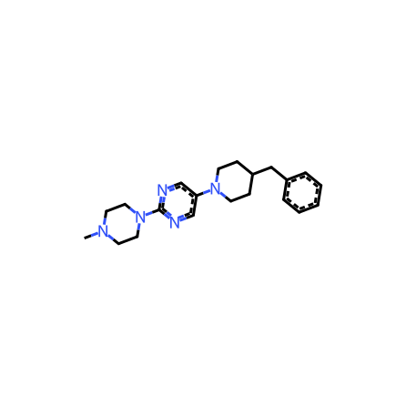 CN1CCN(c2ncc(N3CCC(Cc4ccccc4)CC3)cn2)CC1